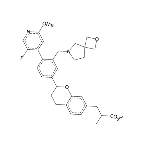 COc1cc(-c2ccc(C3CCc4ccc(CC(C)C(=O)O)cc4O3)cc2CN2CCC3(COC3)C2)c(F)cn1